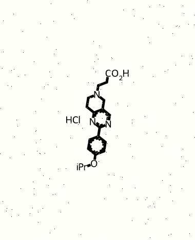 CC(C)Oc1ccc(-c2ncc3c(n2)CCN(CCC(=O)O)C3)cc1.Cl